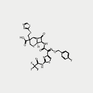 O=C(NC1C(=O)N2CC(CSc3nncs3)(C(=O)O)CS[C@H]12)C(=NOCc1ccc(F)cc1)c1csc(NC(=O)C(F)(F)F)n1